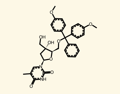 COc1ccc(C(OC[C@H]2O[C@@H](n3cc(C)c(=O)[nH]c3=O)C[C@@]2(O)CO)(c2ccccc2)c2ccc(OC)cc2)cc1